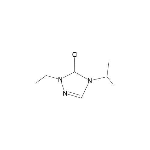 CCN1N=CN(C(C)C)C1Cl